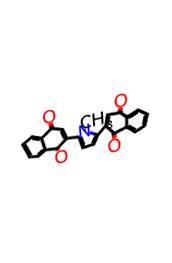 Cn1c(C2=CC(=O)c3ccccc3C2=O)ccc1C1=CC(=O)c2ccccc2C1=O